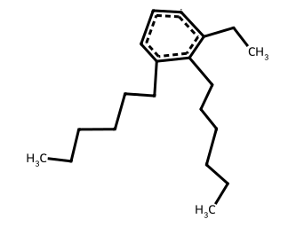 CCCCCCc1cc[c]c(CC)c1CCCCCC